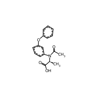 CC(=O)N(c1cccc(Oc2ccccc2)c1)[C@@H](C)C(=O)O